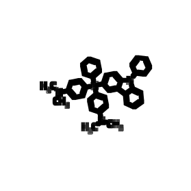 CN(C)c1ccc([Si](c2ccccc2)(c2ccc(N(C)C)cc2)c2ccc3c(c2)c2ccccc2n3-c2ccccc2)cc1